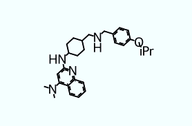 CC(C)Oc1ccc(CNCC2CCC(Nc3cc(N(C)C)c4ccccc4n3)CC2)cc1